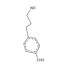 O=Cc1ccc(CCCN=O)cc1